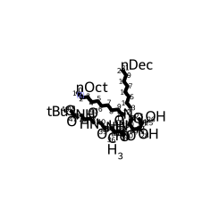 CCCCCCCC/C=C\CCCCCCCC(=O)N(CCCCCCCCCCCCCCCCCC)[C@@H]1O[C@H](CO)[C@@H](O)[C@H](O)[C@H]1NC(=O)[C@H](C)NC(=O)CNC(=O)CNC(=O)OC(C)(C)C